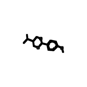 COc1ccc(C2OCC(C(C)C)CO2)cc1